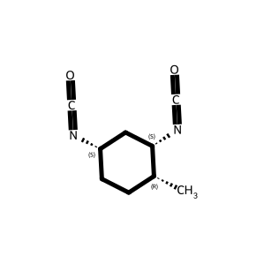 C[C@@H]1CC[C@H](N=C=O)C[C@@H]1N=C=O